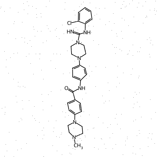 CN1CCN(c2ccc(C(=O)Nc3ccc(N4CCN(C(=N)Nc5ccccc5Cl)CC4)cc3)cc2)CC1